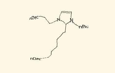 CCCCCCCCCCCCCCCC1N(CCCC)C=CN1CCCCCCCCCCCC